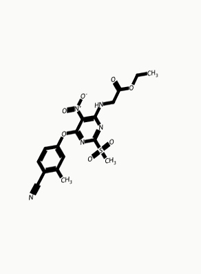 CCOC(=O)CNc1nc(S(C)(=O)=O)nc(Oc2ccc(C#N)c(C)c2)c1[N+](=O)[O-]